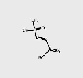 CS(=O)(=O)C=CC(=O)Br